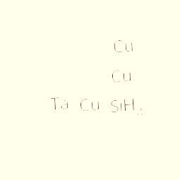 [Cu].[Cu].[Cu].[SiH4].[Ta]